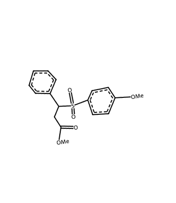 COC(=O)CC(c1ccccc1)S(=O)(=O)c1ccc(OC)cc1